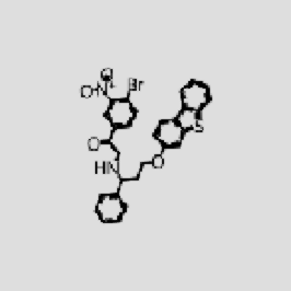 O=C(CNC(CCOc1ccc2c(c1)sc1ccccc12)c1ccccc1)c1ccc(Br)c([N+](=O)[O-])c1